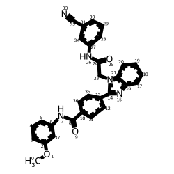 COc1cccc(NC(=O)c2ccc(-c3nc4ccccc4n3CC(=O)Nc3cccc(C#N)c3)cc2)c1